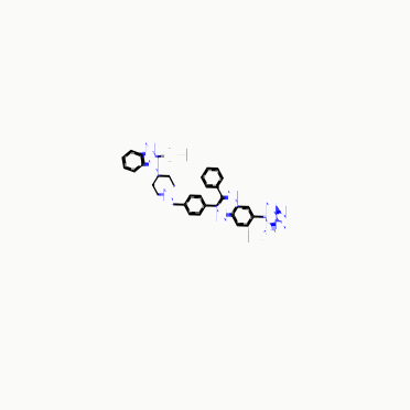 Cc1nc2ccccc2n1C1CCN(Cc2ccc(-c3nc4ccc(-c5nnnn5C)cc4nc3-c3ccccc3)cc2)CC1